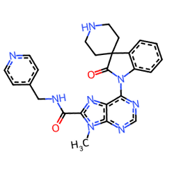 Cn1c(C(=O)NCc2ccncc2)nc2c(N3C(=O)C4(CCNCC4)c4ccccc43)ncnc21